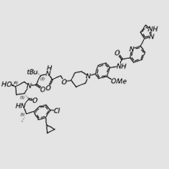 COc1cc(N2CCC(OCC(=O)N[C@H](C(=O)N3C[C@H](O)C[C@H]3C(=O)N[C@@H](C)c3ccc(Cl)c(C4CC4)c3)C(C)(C)C)CC2)ccc1NC(=O)c1cccc(-c2cc[nH]n2)n1